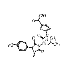 CC(C)C[C@@H](C(=O)Nc1nc(C(=O)O)cs1)N1C(=O)NC(c2ccc(O)cc2)C1=O